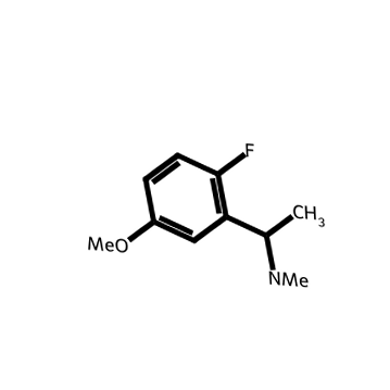 CNC(C)c1cc(OC)ccc1F